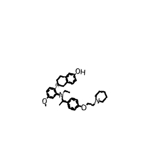 CCN(c1cc(OC)ccc1[C@@H]1CCc2cc(O)ccc2C1)C(C)c1ccc(OCCN2CCCCC2)cc1